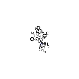 CCN/C=C(\N)CCC(CC(=O)OCc1ccccc1)c1ccc(Cl)c(CN2Cc3cccnc3OC(C)(C)C2)c1